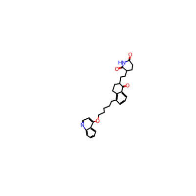 O=C1CCC(CCC2CCc3c(CCCCCOc4ccnc5ccccc45)cccc3C2=O)C(=O)N1